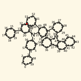 c1ccc(-c2ccc(N(c3cccc(-c4ccccc4)c3)c3ccc(-c4ccccc4-n4c5ccccc5c5ccc6ccccc6c54)cc3-c3ccccc3)cc2)cc1